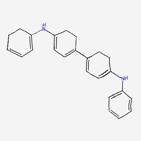 C1=CCCC(NC2=CC=C(C3=CC=C(Nc4ccccc4)CC3)CC2)=C1